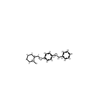 CN1CCCCC1COc1ccc(OCc2ccccc2)cc1